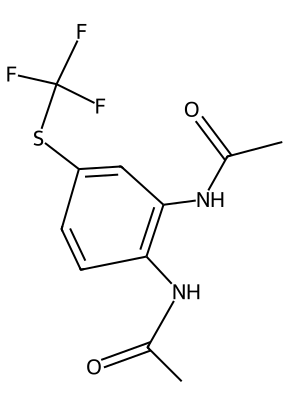 CC(=O)Nc1ccc(SC(F)(F)F)cc1NC(C)=O